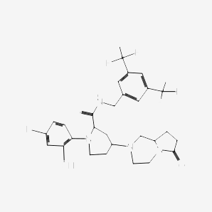 Cc1cc(F)ccc1N1CCC(N2CCN3C(=O)CCC3C2)CC1C(=O)N(C)Cc1cc(C(F)(F)F)cc(C(F)(F)F)c1